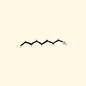 CC[CH][C][C][C][C][C][O]